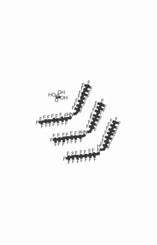 FC(F)(F)C(F)(F)C(F)(F)C(F)(F)C(F)(F)C(F)(F)C(F)(F)CNCC(F)(F)C(F)(F)C(F)(F)C(F)(F)C(F)(F)C(F)(F)C(F)(F)F.FC(F)(F)C(F)(F)C(F)(F)C(F)(F)C(F)(F)C(F)(F)C(F)(F)CNCC(F)(F)C(F)(F)C(F)(F)C(F)(F)C(F)(F)C(F)(F)C(F)(F)F.FC(F)(F)C(F)(F)C(F)(F)C(F)(F)C(F)(F)C(F)(F)C(F)(F)CNCC(F)(F)C(F)(F)C(F)(F)C(F)(F)C(F)(F)C(F)(F)C(F)(F)F.O=P(O)(O)O